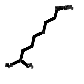 CN(C)CCCOCCN(C)O